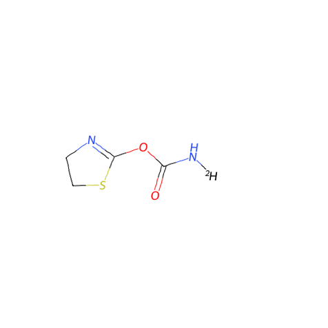 [2H]NC(=O)OC1=NCCS1